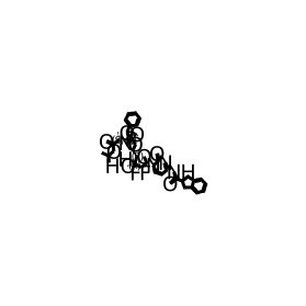 CC(C)OC(=O)[C@H](C)N[P@@](=O)(OC[C@H]1OC(n2ccc(NC(=O)C3Cc4ccccc4C3)nc2=O)C(F)(F)[C@@H]1O)Oc1ccccc1